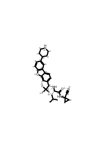 CC(C)C[C@H](N[C@@H](c1ccc2c(c1)oc1ccc(C3CCNCC3)cc12)C(F)(F)F)C(=O)NC1(C#N)CC1